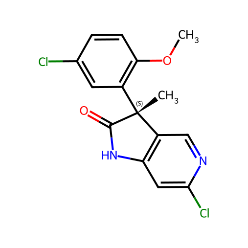 COc1ccc(Cl)cc1[C@@]1(C)C(=O)Nc2cc(Cl)ncc21